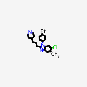 [CH2]Cc1ccc(-n2c(CCCc3ccncc3)nc3cc(C(F)(F)F)c(Cl)cc32)cc1